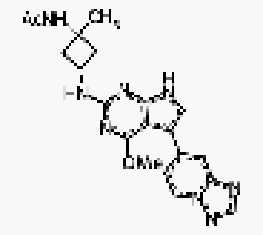 COc1nc(N[C@H]2C[C@@](C)(NC(C)=O)C2)nc2[nH]cc(-c3ccn4ncnc4c3)c12